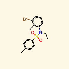 CCN(c1cccc(Br)c1C)S(=O)(=O)c1ccc(C)cc1